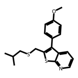 COc1ccc(-c2c(CSCC(C)C)sc3ncccc23)cc1